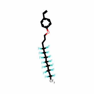 C=Cc1ccc(OCCCC(F)(F)C(F)(F)C(F)(F)C(F)(F)C(F)(F)C(F)(F)C(F)(F)C(F)(F)F)cc1